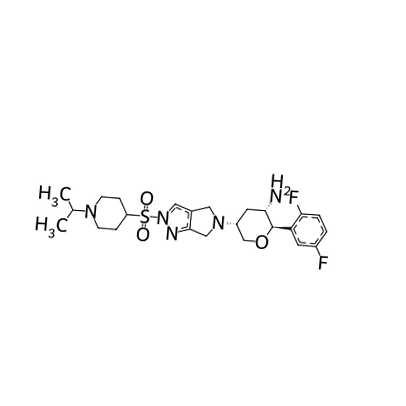 CC(C)N1CCC(S(=O)(=O)n2cc3c(n2)CN([C@H]2CO[C@H](c4cc(F)ccc4F)[C@@H](N)C2)C3)CC1